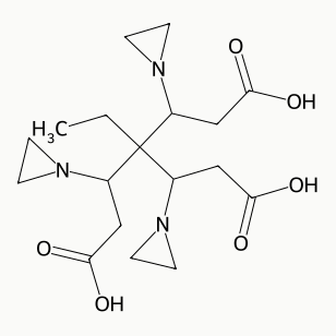 CCC(C(CC(=O)O)N1CC1)(C(CC(=O)O)N1CC1)C(CC(=O)O)N1CC1